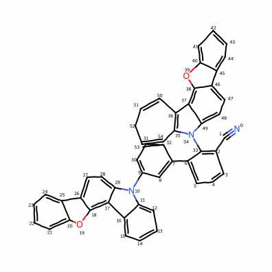 N#Cc1cccc(C2=CC(n3c4ccccc4c4c5oc6ccccc6c5ccc43)=CCC2)c1-n1c2c(c3c4oc5ccccc5c4ccc31)C=CCC#C2